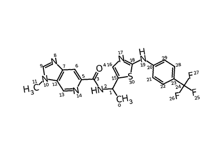 CC(NC(=O)c1cc2ncn(C)c2cn1)c1cnc(Nc2ccc(C(F)(F)F)cc2)s1